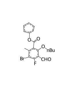 CCCCOc1c(C=O)c(F)c(Br)c(C)c1C(=O)Oc1ccccc1